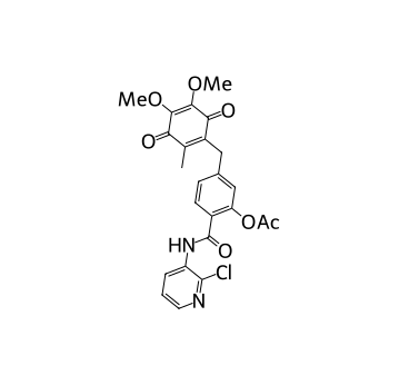 COC1=C(OC)C(=O)C(Cc2ccc(C(=O)Nc3cccnc3Cl)c(OC(C)=O)c2)=C(C)C1=O